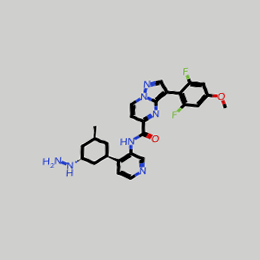 COc1cc(F)c(-c2cnn3ccc(C(=O)Nc4cnccc4[C@@H]4C[C@H](C)C[C@@H](NN)C4)nc23)c(F)c1